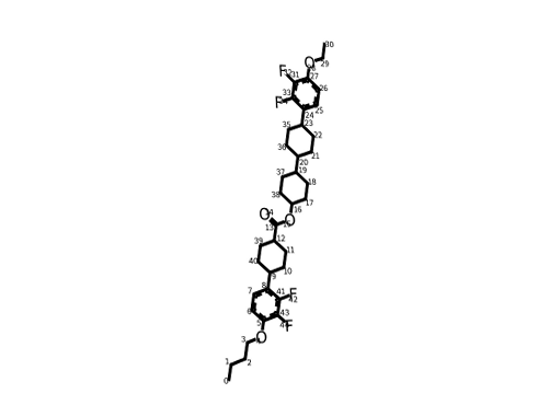 CCCCOc1ccc(C2CCC(C(=O)OC3CCC(C4CCC(c5ccc(OCC)c(F)c5F)CC4)CC3)CC2)c(F)c1F